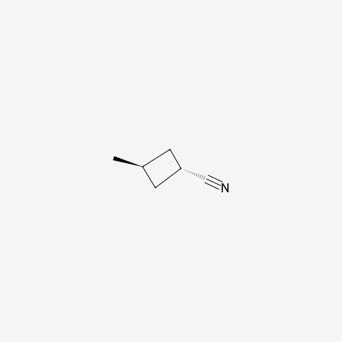 C[C@H]1C[C@H](C#N)C1